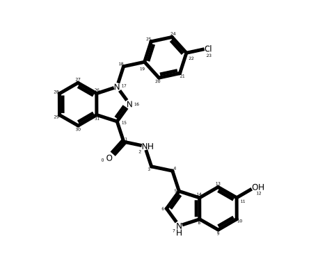 O=C(NCCc1c[nH]c2ccc(O)cc12)c1nn(Cc2ccc(Cl)cc2)c2ccccc12